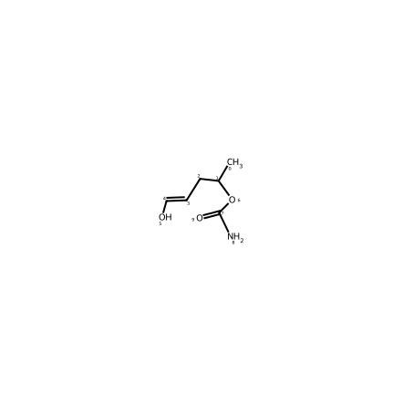 CC(CC=CO)OC(N)=O